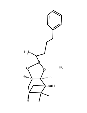 CC1(C)[C@@H]2C[C@H]3OB(C(N)CCCc4ccccc4)O[C@@]3(C)[C@H]1C2.Cl